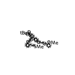 COc1ccccc1COCCCOc1ccc(C2CCN(C(=O)OC(C)(C)C)CC2OCCOc2ccccc2CCCSC)cc1